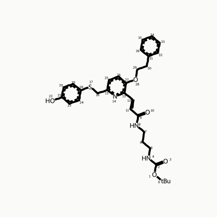 CC(C)(C)OC(=O)NCCCNC(=O)/C=C/c1nc(CSc2ccc(O)cc2)ccc1OCCc1ccccc1